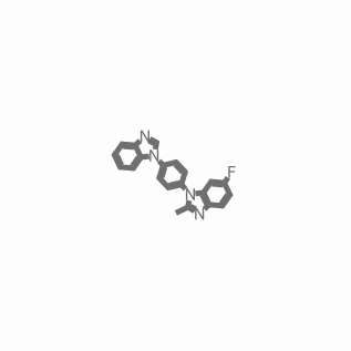 Cc1nc2ccc(F)cc2n1-c1ccc(-n2cnc3ccccc32)cc1